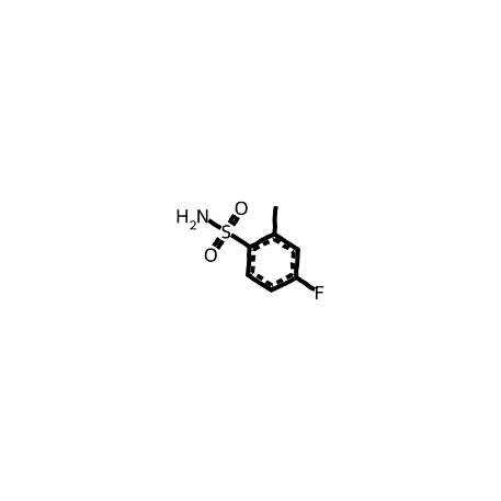 Cc1cc(F)ccc1S(N)(=O)=O